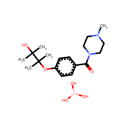 CN1CCN(C(=O)c2ccc(OC(C)(C)C(C)(C)O)cc2)CC1.OB(O)O